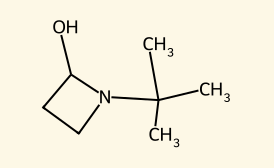 CC(C)(C)N1CCC1O